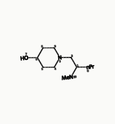 CCCC(CN1CCC(O)CC1)NC